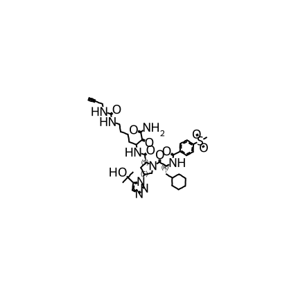 C#CCNC(=O)NCCCCC(NC(=O)[C@@H]1C[C@H](n2nncc2C(C)(C)O)CN1C(=O)[C@@H](CC1CCCCC1)NC(=O)c1ccc(S(C)(=O)=O)cc1)C(=O)C(N)=O